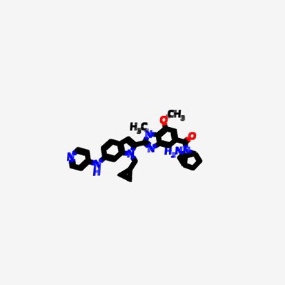 COc1cc(C(=O)N2CC3CCC2C3N)cc2nc(-c3cc4ccc(Nc5ccncc5)cc4n3CC3CC3)n(C)c12